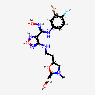 CN1CC(CCNc2nonc2C(=NO)Nc2ccc(F)c(Br)c2)OC1=C=O